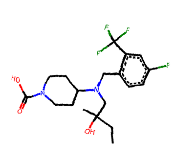 CCC(C)(O)CN(Cc1ccc(F)cc1C(F)(F)F)C1CCN(C(=O)O)CC1